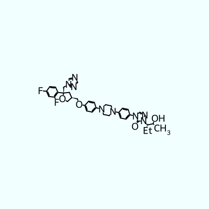 CC[C@@H]([C@H](C)O)n1ncn(-c2ccc(N3CCN(c4ccc(OC[C@H]5CO[C@](Cn6cncn6)(c6ccc(F)cc6F)C5)cc4)CC3)cc2)c1=O